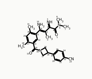 C/C(C(=N)C(=O)N(C)C)=C(/N)c1cc(C(=O)N2CC(c3ccc(C#N)cc3)C2)c(C)cc1C